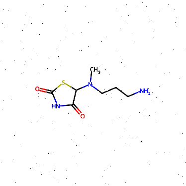 CN(CCCN)C1SC(=O)NC1=O